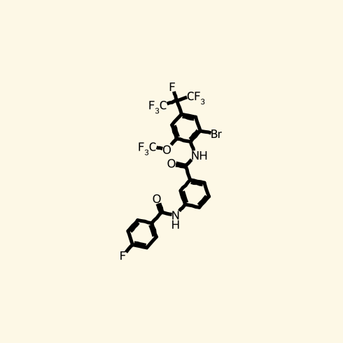 O=C(Nc1cccc(C(=O)Nc2c(Br)cc(C(F)(C(F)(F)F)C(F)(F)F)cc2OC(F)(F)F)c1)c1ccc(F)cc1